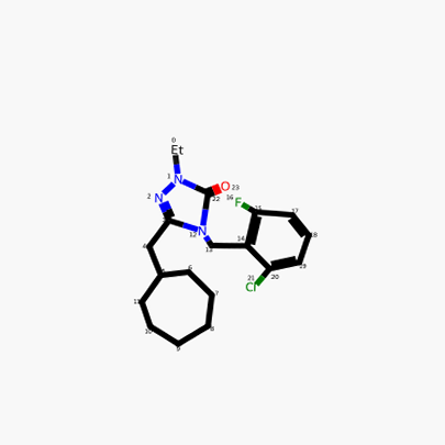 CCn1nc(CC2CCCCCC2)n(Cc2c(F)cccc2Cl)c1=O